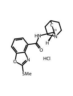 CSc1nc2c(C(=O)N[C@@H]3CC4CCN3CC4)cccc2o1.Cl